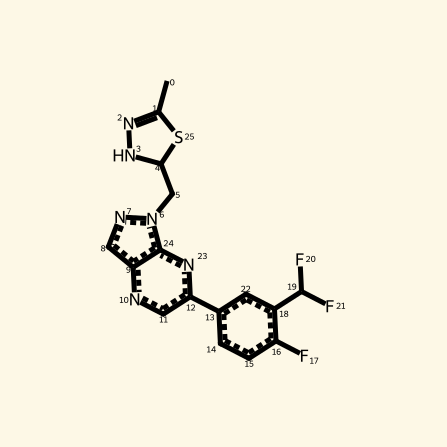 CC1=NNC(Cn2ncc3ncc(-c4ccc(F)c(C(F)F)c4)nc32)S1